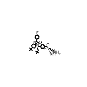 CC(C)(C)CC[C@H](c1ccc(C(=O)NC/C(N=N)=N/N)cc1)N1C(=O)C(c2ccc(F)cc2)=NC12CCC(C(C)(C)C)CC2